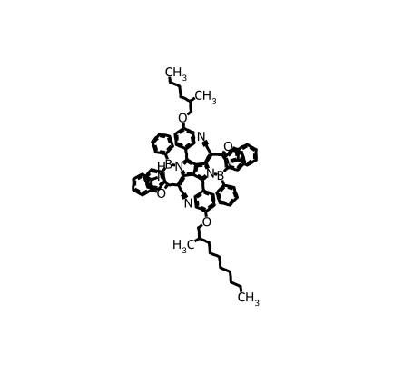 CCCCCCCCC(C)COc1ccc(-c2c3/c(=C(\C#N)C4Nc5ccccc5O4)n(B(c4ccccc4)c4ccccc4)c(-c4ccc(OCC(C)CCCC)cc4)c3/c(=C(\C#N)c3nc4ccccc4o3)n2B(c2ccccc2)c2ccccc2)cc1